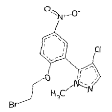 Cn1ncc(Cl)c1-c1cc([N+](=O)[O-])ccc1OCCBr